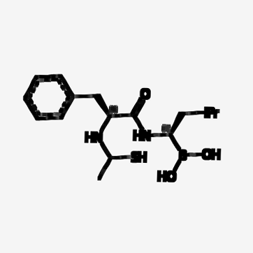 CC(C)C[C@H](NC(=O)[C@H](Cc1ccccc1)NC(C)S)B(O)O